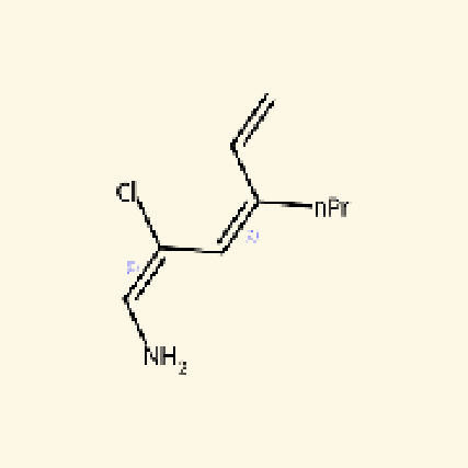 C=C/C(=C\C(Cl)=C/N)CCC